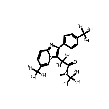 [2H]C([2H])([2H])c1ccc(-c2nc3ccc(C([2H])([2H])[2H])cn3c2C([2H])([2H])C(=O)N(C)C([2H])([2H])[2H])cc1